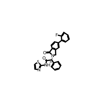 O=C(Nc1nccs1)[C@@H](c1ccccc1)N1Cc2cc(-c3ccccc3F)ccc2C1=O